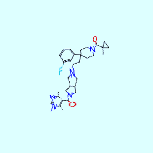 Cc1ncnc(C)c1C(=O)N1CC2CN(CCC3(c4cccc(F)c4)CCN(C(=O)C4(C)CC4)CC3)CC2C1